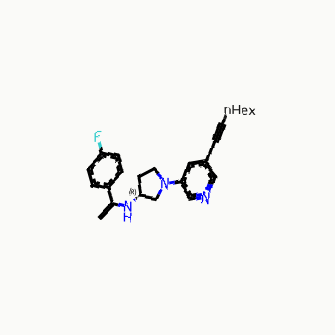 C=C(N[C@@H]1CCN(c2cncc(C#CCCCCCC)c2)C1)c1ccc(F)cc1